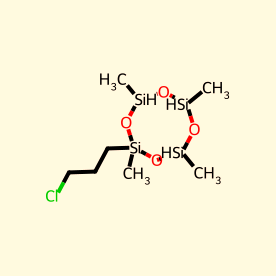 C[SiH]1O[SiH](C)O[Si](C)(CCCCl)O[SiH](C)O1